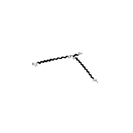 CCCCCC=CCC=CCCCCCCCCOC[C@H](CCO)OCCCCCCCCC=CCC=CCCCCC